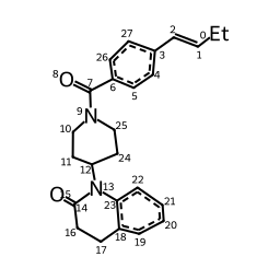 CCC=Cc1ccc(C(=O)N2CCC(N3C(=O)CCc4ccccc43)CC2)cc1